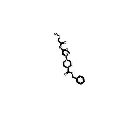 CC(=O)SCC(=O)[N-]c1c[n+](N2CCN(C(=O)OCc3ccccc3)CC2)no1